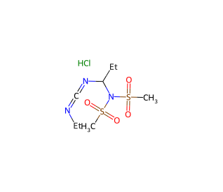 CCN=C=NC(CC)N(S(C)(=O)=O)S(C)(=O)=O.Cl